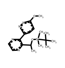 COc1ccc(-c2nccnc2C(C)O[Si](C)(C)C(C)(C)C)nn1